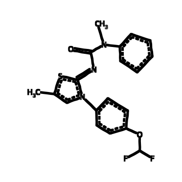 Cc1cn(-c2ccc(OC(F)F)cc2)/c(=N/C(=O)N(C)c2ccccc2)s1